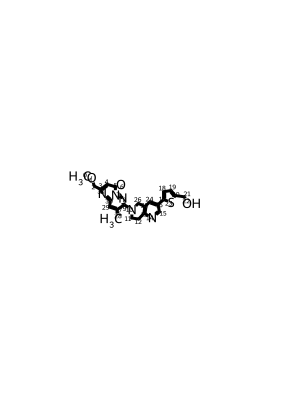 COCc1cc(=O)n2nc(N3CCc4ncc(-c5ccc(CO)s5)cc4C3)c(C)cc2n1